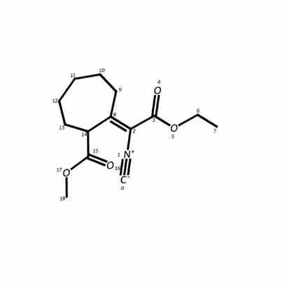 [C-]#[N+]C(C(=O)OCC)=C1CCCCCC1C(=O)OC